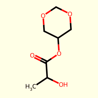 CC(O)C(=O)OC1COCOC1